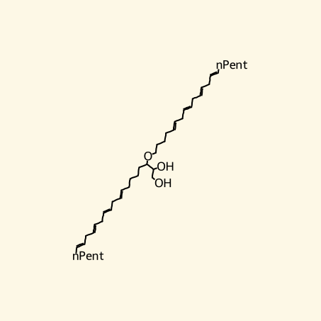 CCCCCC=CCC=CCC=CCC=CCCCCOC(CCCCC=CCC=CCC=CCC=CCCCCC)C(O)CO